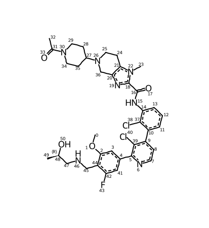 COc1cc(-c2nccc(-c3cccc(NC(=O)c4nc5c(n4C)CCN(C4CCN(C(C)=O)CC4)C5)c3Cl)c2Cl)cc(F)c1CNC[C@@H](C)O